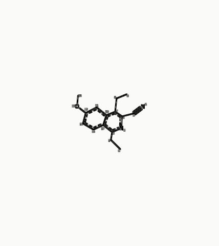 CCc1nc(C#N)c(CC)c2cc(OC)ccc12